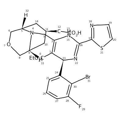 CCOC(=O)C1=C(CN2[C@@H]3COC[C@H]2C[C@H](CC(=O)O)C3)NC(c2nccs2)=N[C@H]1c1cccc(F)c1Br